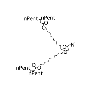 CCCCCC(CCCCC)CC(=O)OCCCCCCCCCCC1(CCCCCCCCCCOC(=O)CC(CCCCC)CCCCC)OCC(CN(C)C)O1